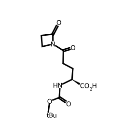 CC(C)(C)OC(=O)N[C@@H](CCC(=O)N1CCC1=O)C(=O)O